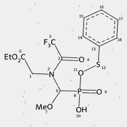 CCOC(=O)CN(C(=O)C(F)(F)F)C(OC)P(=O)(O)OSc1ccccc1